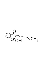 CCCCCCCC(C(=O)O)C(=O)c1ccccc1